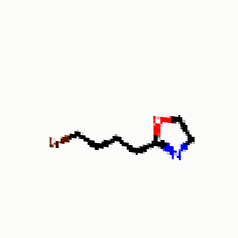 BrCCCCC1=NCCO1